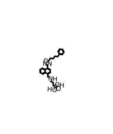 O=P(O)(O)CCCNCc1ccc(-c2noc(CCCCc3ccccc3)n2)c2ccccc12